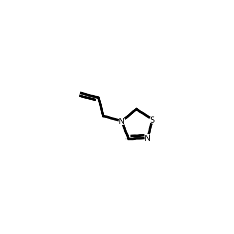 C=CCN1[C]=NSC1